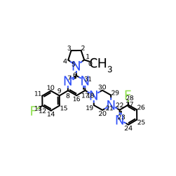 CC1CCCN1c1nc(-c2ccc(F)cc2)cc(N2CCN(c3ncccc3F)CC2)n1